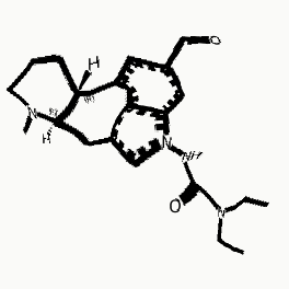 CCN(CC)C(=O)Nn1cc2c3c(cc(C=O)cc31)[C@H]1CCCN(C)[C@@H]1C2